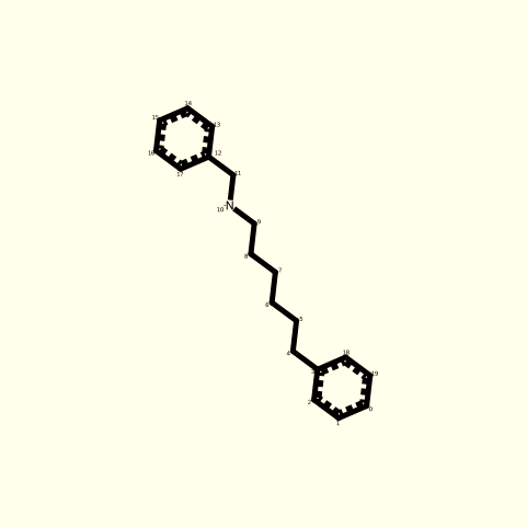 c1ccc(CCCCCC[N]Cc2ccccc2)cc1